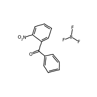 FB(F)F.O=C(c1ccccc1)c1ccccc1[N+](=O)[O-]